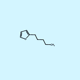 CCCC[CH]c1ccco1